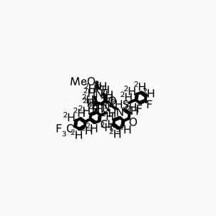 [2H]c1c([2H])c(F)c(F)c(C([2H])([2H])Sc2c([2H])c(=O)c3c([2H])c([2H])c([2H])c([2H])c3n2C([2H])([2H])C(=O)N(Cc2c([2H])c([2H])c(-c3c([2H])c([2H])c(C(F)(F)F)c([2H])c3[2H])c([2H])c2C)C2([2H])C([2H])([2H])C([2H])([2H])N(C([2H])([2H])COC)C([2H])([2H])C2([2H])[2H])c1[2H]